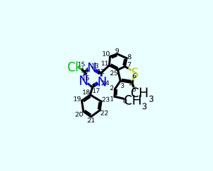 C/C=C\c1c(C)sc2cccc(-c3nc(Cl)nc(-c4ccccc4)n3)c12